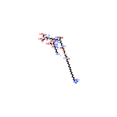 CN[C@@H](CCCCN)C(=O)N[C@@H](CC(=O)O)C(=O)N[C@@H](CCCCNC(=O)CN(CC(=O)O)CC(=O)O)C(=O)N[C@@H](CCCCNC(=O)COCCOCCNC(=O)CCCCCCCCCCCCCCCc1nnn[nH]1)C(N)=O